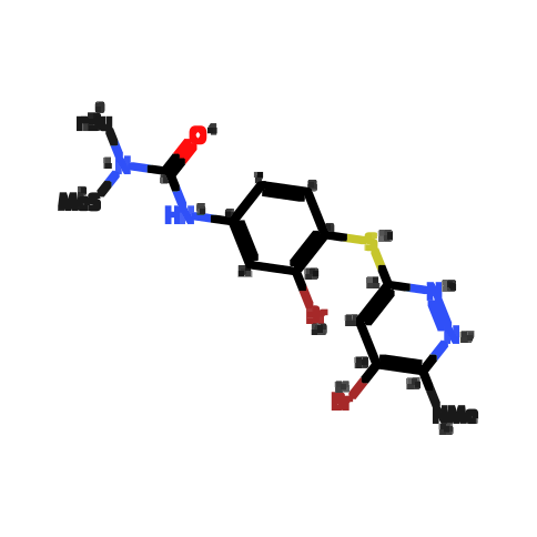 CCCCN(SC)C(=O)Nc1ccc(Sc2cc(Br)c(NC)nn2)c(Br)c1